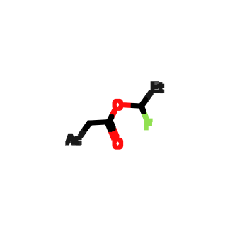 CCC(F)OC(=O)CC(C)=O